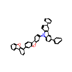 c1ccc(-c2ccc3c(c2)c2cc(-c4ccccc4)ccc2n3-c2ccc3c(c2)oc2cc(-c4cccc5c4oc4ccccc45)ccc23)cc1